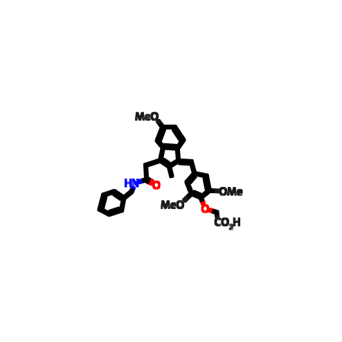 COc1ccc2c(c1)C(CC(=O)NCc1ccccc1)=C(C)C2=Cc1cc(OC)c(OCC(=O)O)c(OC)c1